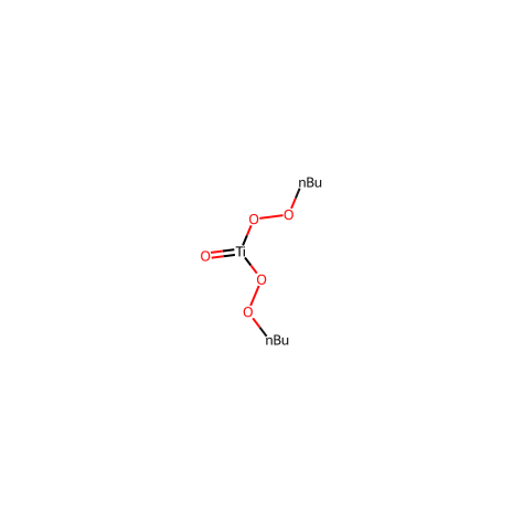 CCCCO[O][Ti](=[O])[O]OCCCC